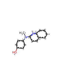 CN(c1ccc(O)cc1)c1ccc2ccccc2n1